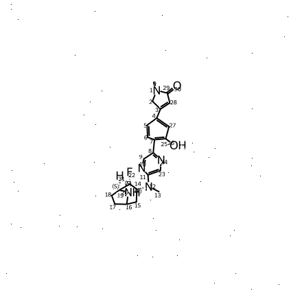 CN1CC(c2ccc(-c3cnc(N(C)[C@@H]4CC5CC[C@H](N5)[C@@H]4F)cn3)c(O)c2)=CC1=O